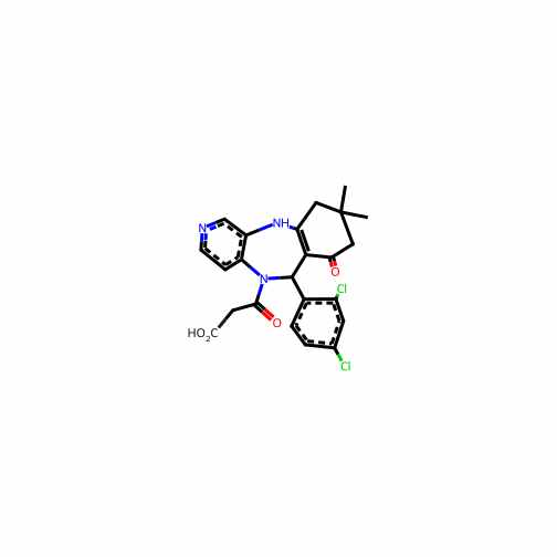 CC1(C)CC(=O)C2=C(C1)Nc1cnccc1N(C(=O)CC(=O)O)C2c1ccc(Cl)cc1Cl